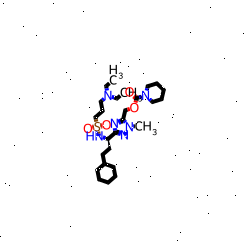 CCN(CC)CCCS(=O)(=O)N[C@H](CCC1CCCCC1)c1nc(COC(=O)N2CCCCC2)n(C)n1